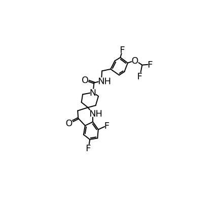 O=C1CC2(CCN(C(=O)NCc3ccc(OC(F)F)c(F)c3)CC2)Nc2c(F)cc(F)cc21